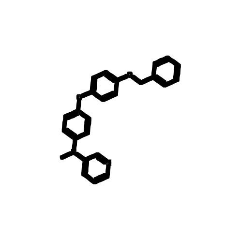 CN(c1ccc(Oc2ccc(OCc3ccccc3)cc2)cc1)c1cccnc1